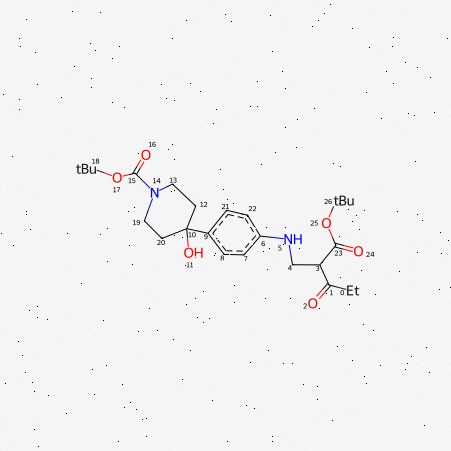 CCC(=O)C(CNc1ccc(C2(O)CCN(C(=O)OC(C)(C)C)CC2)cc1)C(=O)OC(C)(C)C